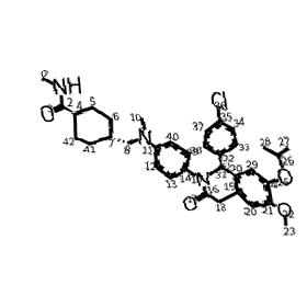 CNC(=O)[C@H]1CC[C@H](CN(C)c2ccc(N3C(=O)Cc4cc(OC)c(OC(C)C)cc4[C@@H]3c3ccc(Cl)cc3)cc2)CC1